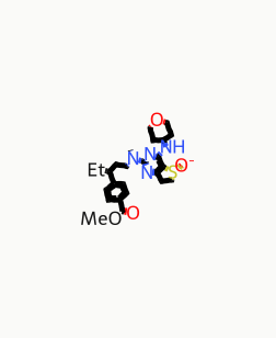 CCC(CCN(C)c1nc2c(c(NC3CCOCC3)n1)[S+]([O-])CC2)c1ccc(C(=O)OC)cc1